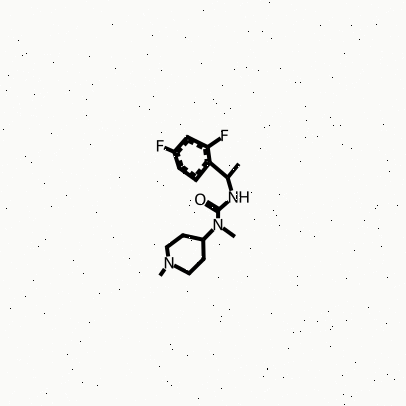 CC(NC(=O)N(C)C1CCN(C)CC1)c1ccc(F)cc1F